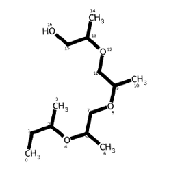 CCC(C)OC(C)COC(C)COC(C)CO